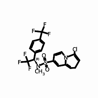 CN([C@H](c1ccc(C(F)(F)F)cc1)C(F)(F)F)S(=O)(=O)C1=CC2=CCC=C(Cl)N2C=C1